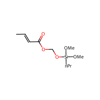 CC=CC(=O)OCO[Si](CCC)(OC)OC